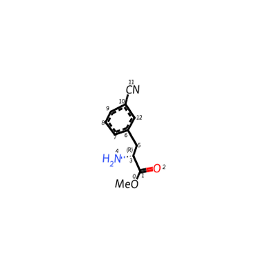 COC(=O)[C@H](N)Cc1cccc(C#N)c1